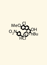 CCCCC(C(O)c1ccc2c(Cl)c(OC)ccc2c1)N1CCN(Cc2ccc([N+](=O)[O-])cc2)CC1.Cl